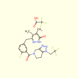 Cc1c(Cc2ccc(F)c(C(=O)N3CCc4c(nnn4CC(F)(F)F)C3)c2)n[nH]c(=O)c1C.O=C(O)C(F)(F)F